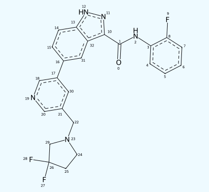 O=C(Nc1ccccc1F)c1n[nH]c2ccc(-c3cncc(CN4CCC(F)(F)C4)c3)cc12